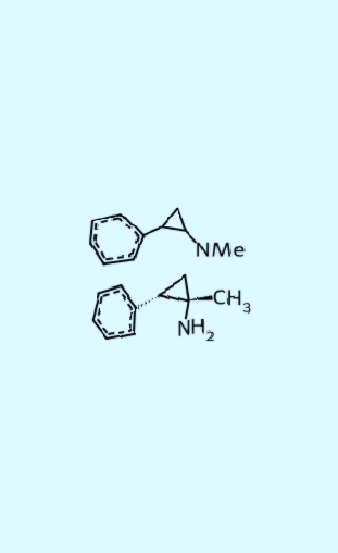 CNC1CC1c1ccccc1.C[C@]1(N)C[C@H]1c1ccccc1